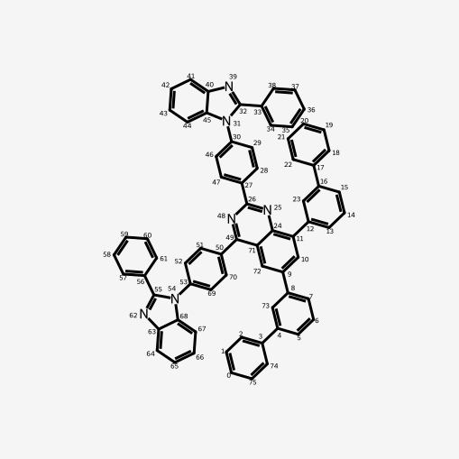 c1ccc(-c2cccc(-c3cc(-c4cccc(-c5ccccc5)c4)c4nc(-c5ccc(-n6c(-c7ccccc7)nc7ccccc76)cc5)nc(-c5ccc(-n6c(-c7ccccc7)nc7ccccc76)cc5)c4c3)c2)cc1